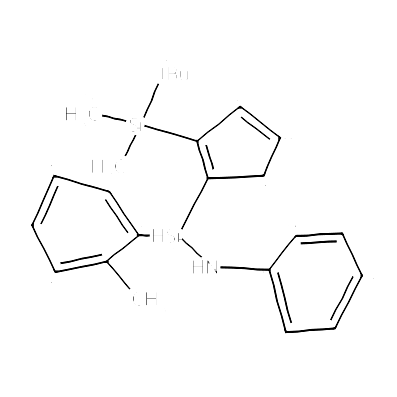 Cc1ccccc1[SiH](Nc1ccccc1)C1=C([Si](C)(C)C(C)(C)C)C=CC1